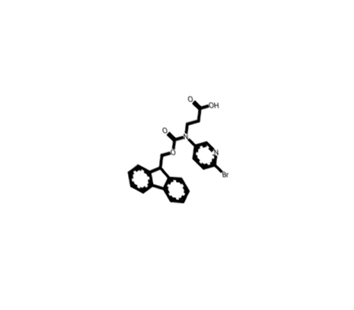 O=C(O)CCN(C(=O)OCC1c2ccccc2-c2ccccc21)c1ccc(Br)nc1